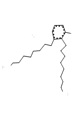 CCCCCCCCCc1cccc([O-])c1CCCCCCCCC.[Na+]